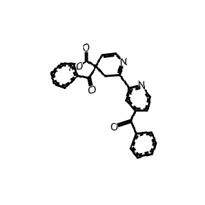 O=C(c1ccccc1)c1ccnc(C2=NC=CC(C(=O)O)(C(=O)c3ccccc3)C2)c1